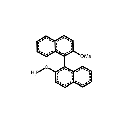 COc1ccc2ccccc2c1-c1c(OP)ccc2ccccc12